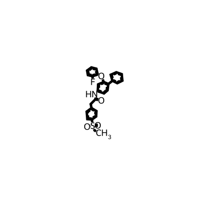 CCS(=O)(=O)c1ccc(CC(=O)Nc2ccc(-c3ccccc3)c(Oc3ccccc3F)c2)cc1